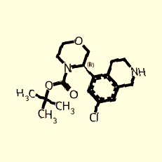 CC(C)(C)OC(=O)N1CCOC[C@H]1c1cc(Cl)cc2c1CCNC2